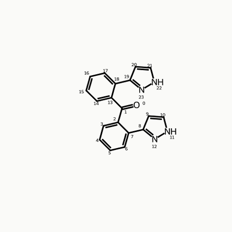 O=C(c1ccccc1-c1cc[nH]n1)c1ccccc1-c1cc[nH]n1